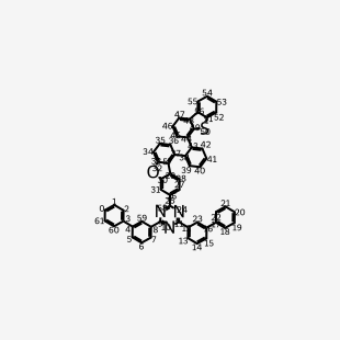 c1ccc(-c2cccc(-c3nc(-c4cccc(-c5ccccc5)c4)nc(-c4ccc5c(c4)oc4cccc(-c6ccccc6-c6cccc7c6sc6ccccc67)c45)n3)c2)cc1